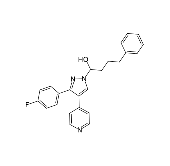 OC(CCCc1ccccc1)n1cc(-c2ccncc2)c(-c2ccc(F)cc2)n1